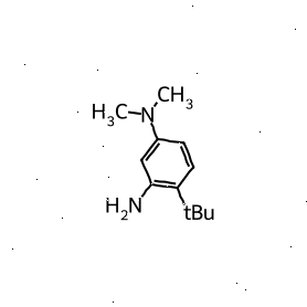 CN(C)c1ccc(C(C)(C)C)c(N)c1